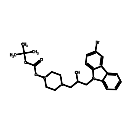 CC(C)(C)OC(=O)ON1CCN(CC(O)Cn2c3ccccc3c3cc(Br)ccc32)CC1